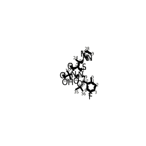 Cc1ccc(F)cc1[C@H](Cn1c(=O)n(C(C)(C)C(=O)O)c(=O)c2c(C)c(-n3nccn3)sc21)OC(C)C